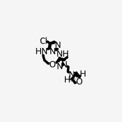 Cc1c2c(nn1CCN1C[C@H]3C[C@@H]1CO3)OCCCNc1nc(ncc1Cl)N2